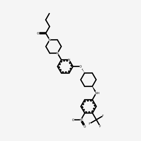 CCCC(=O)N1CCN(c2cccc(O[C@H]3CC[C@H](Nc4ccc([N+](=O)[O-])c(C(F)(F)F)c4)CC3)n2)CC1